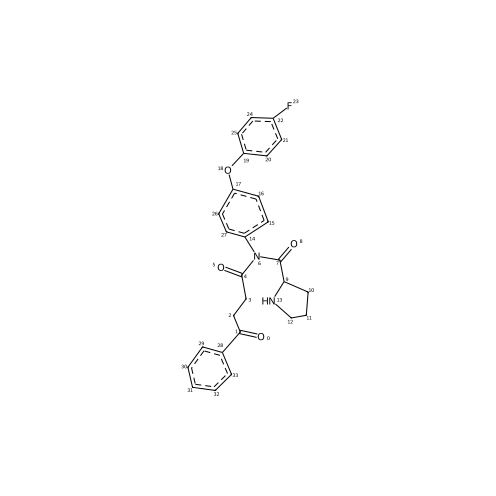 O=C(CCC(=O)N(C(=O)C1CCCN1)c1ccc(Oc2ccc(F)cc2)cc1)c1ccccc1